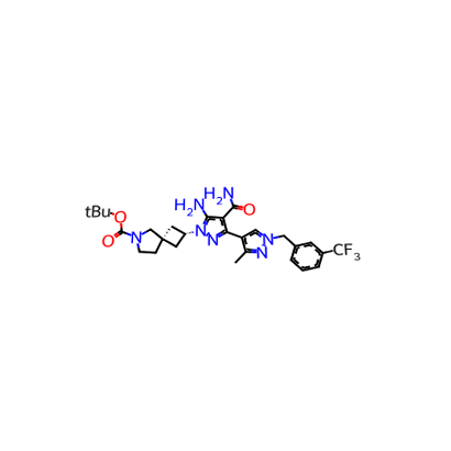 Cc1nn(Cc2cccc(C(F)(F)F)c2)cc1-c1nn([C@H]2C[C@@]3(CCN(C(=O)OC(C)(C)C)C3)C2)c(N)c1C(N)=O